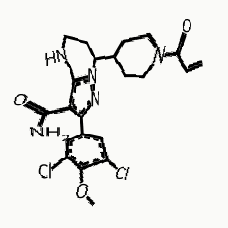 C=CC(=O)N1CCC(C2CCNc3c(C(N)=O)c(-c4cc(Cl)c(OC)c(Cl)c4)nn32)CC1